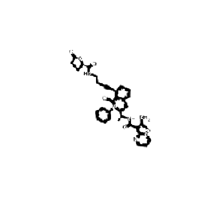 C[C@H](NC(=O)c1c(N)nn2cccnc12)c1cc2cccc(C#CCCNC(=O)[C@H]3CCC(=O)O3)c2c(=O)n1-c1ccccc1